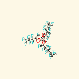 FC(F)C(F)(F)C(F)(F)C(F)OB(OC(F)C(F)(F)C(F)(F)C(F)F)OC(F)C(F)(F)C(F)(F)C(F)F